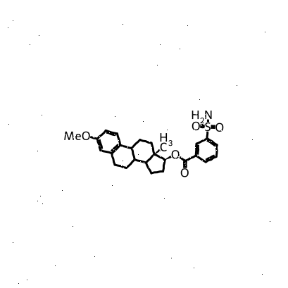 COc1ccc2c(c1)CCC1C2CC[C@@]2(C)C1CC[C@@H]2OC(=O)c1cccc(S(N)(=O)=O)c1